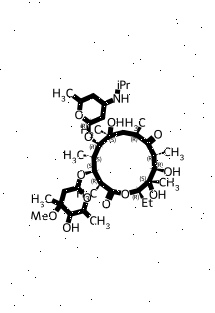 CC[C@H]1OC(=O)[C@H](C)[C@@H](OC2CC(C)(OC)C(O)C(C)O2)[C@H](C)[C@@H](O[C@@H]2CC(NC(C)C)CC(C)O2)[C@@](C)(O)C[C@@H](C)C(=O)[C@H](C)[C@@H](O)[C@]1(C)O